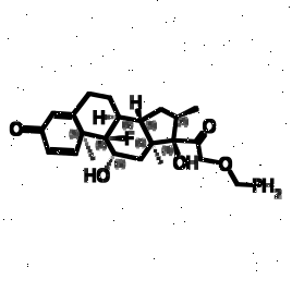 C[C@@H]1C[C@H]2[C@@H]3CCC4=CC(=O)C=C[C@]4(C)[C@@]3(F)[C@@H](O)C[C@]2(C)[C@@]1(O)C(=O)COCP